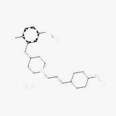 CCNC1CCC(CCCN2CCC(Cc3cc(OC(C)C)ccc3Br)CC2)CC1.Cl.Cl